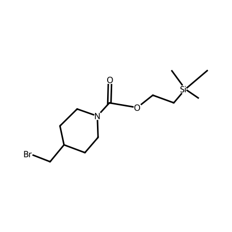 C[Si](C)(C)CCOC(=O)N1CCC(CBr)CC1